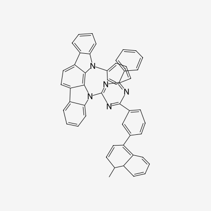 CC1C=CC(c2cccc(-c3nc(-c4ccccc4)nc(-n4c5ccccc5c5ccc6c7ccccc7n(-c7ccccc7)c6c54)n3)c2)=C2C=CC=CC21